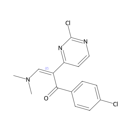 CN(C)/C=C(\C(=O)c1ccc(Cl)cc1)c1ccnc(Cl)n1